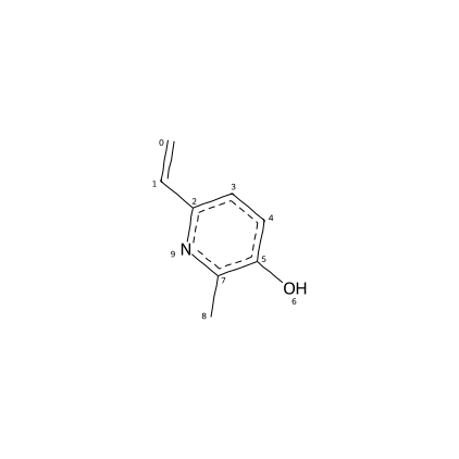 C=Cc1ccc(O)c(C)n1